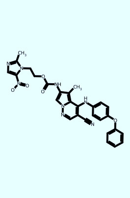 Cc1c(NC(=O)OCCn2c([N+](=O)[O-])cnc2C)cn2ncc(C#N)c(Nc3ccc(Oc4ccccc4)cc3)c12